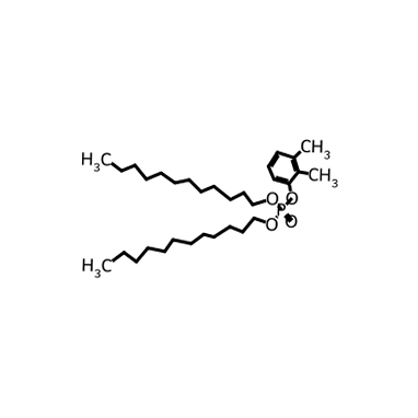 CCCCCCCCCCCCOP(=O)(OCCCCCCCCCCCC)Oc1cccc(C)c1C